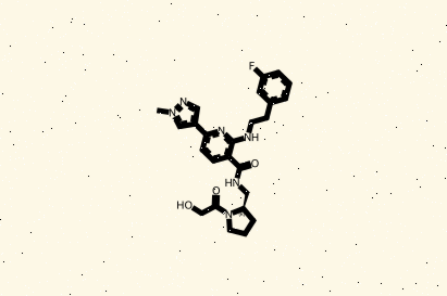 Cn1cc(-c2ccc(C(=O)NC[C@H]3CCCN3C(=O)CO)c(NCCc3cccc(F)c3)n2)cn1